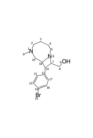 CN1CCCCN2C(CO)C(c3ccc(Br)cc3)C2C1